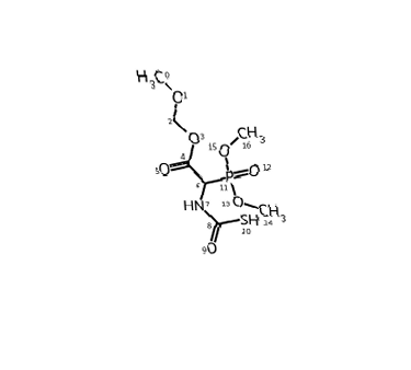 COCOC(=O)C(NC(=O)S)P(=O)(OC)OC